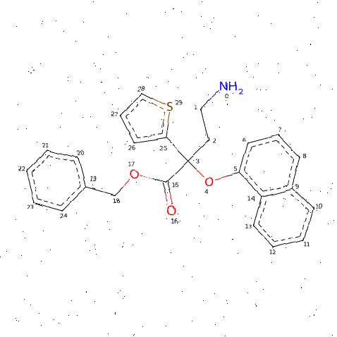 NCCC(Oc1cccc2ccccc12)(C(=O)OCc1ccccc1)c1cccs1